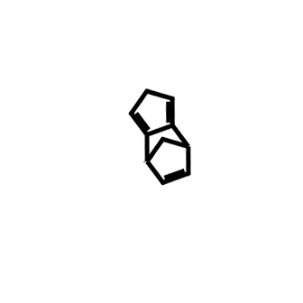 C1=CC2C[C]1C1=CCC=C12